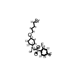 CN([C@H]1CC[C@H](OCCCCBr)CC1)S(=O)(=O)c1ccc(F)cc1F